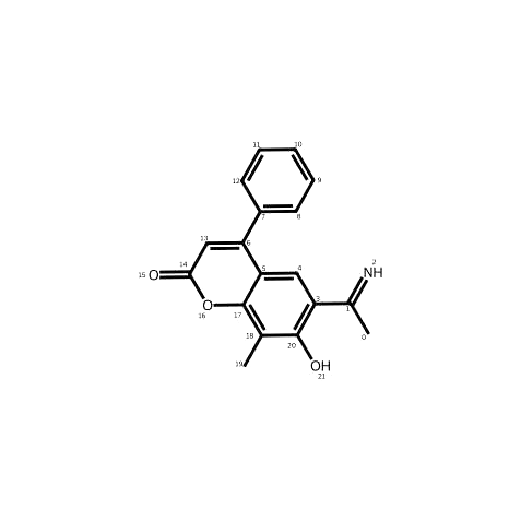 CC(=N)c1cc2c(-c3ccccc3)cc(=O)oc2c(C)c1O